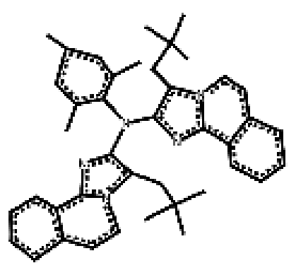 Cc1cc(C)c(N(c2nc3c4ccccc4ccn3c2CC(C)(C)C)c2nc3c4ccccc4ccn3c2CC(C)(C)C)c(C)c1